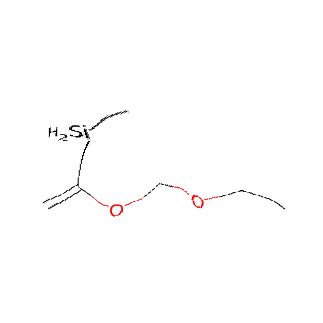 C=C(OCOCC)[SiH2]C